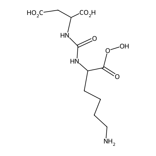 NCCCCC(NC(=O)NC(CC(=O)O)C(=O)O)C(=O)OO